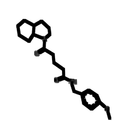 COc1ccc(CNC(=O)CCCC(=O)N2CCCC3CCCCC32)cc1